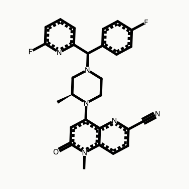 C[C@H]1CN(C(c2ccc(F)cc2)c2cccc(F)n2)CCN1c1cc(=O)n(C)c2ccc(C#N)nc12